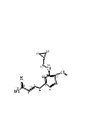 COc1ccc(C/C=C/C(=O)O)cc1OCC1CC1